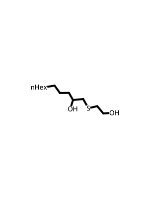 CCCCCCCCCC(O)CSCCO